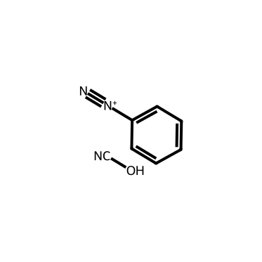 N#CO.N#[N+]c1ccccc1